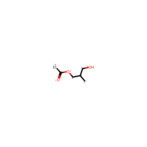 [CH2]C(CO)COC(=O)CC